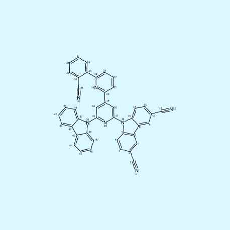 N#Cc1ccc2c(c1)c1cc(C#N)ccc1n2-c1cc(-c2cccc(-c3ccccc3C#N)n2)cc(-n2c3ccccc3c3ccccc32)n1